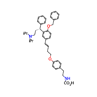 CC(C)N(CC[C@H](c1ccccc1)c1cc(/C=C/CCOc2ccc(CCNC(=O)O)cc2)ccc1OCc1ccccc1)C(C)C